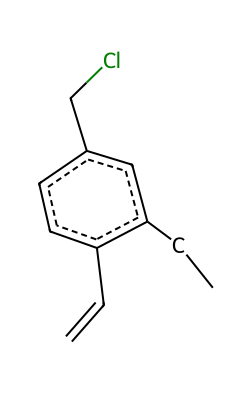 C=Cc1ccc(CCl)cc1CC